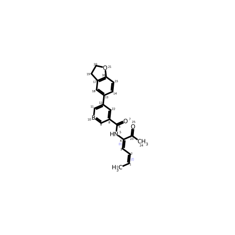 C/C=C\C=C(\NC(=O)c1cbcc(-c2ccc3c(c2)CCO3)c1)C(C)=O